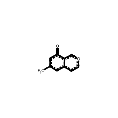 O=c1cc(C(F)(F)F)cc2ccocc1-2